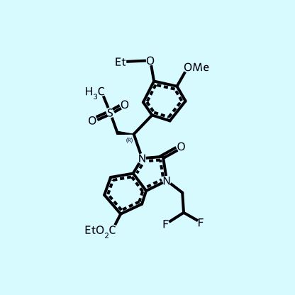 CCOC(=O)c1ccc2c(c1)n(CC(F)F)c(=O)n2[C@@H](CS(C)(=O)=O)c1ccc(OC)c(OCC)c1